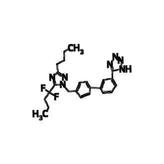 CCCCc1nc(C(F)(F)CCC)n(Cc2ccc(-c3cccc(-c4nnn[nH]4)c3)cc2)n1